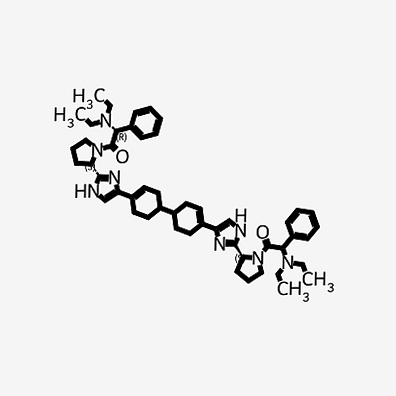 CCN(CC)C(C(=O)N1CCC[C@H]1c1nc(C2=CCC(C3CC=C(c4c[nH]c([C@@H]5CCCN5C(=O)[C@@H](c5ccccc5)N(CC)CC)n4)CC3)CC2)c[nH]1)c1ccccc1